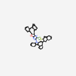 Clc1nc2c(nc1-n1c3ccccc3c3c4ccccc4c4c5cc6ccccc6cc5sc4c31)oc1c3ccccc3c3ccccc3c21